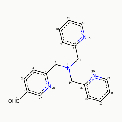 O=Cc1ccc(CN(Cc2ccccn2)Cc2ccccn2)nc1